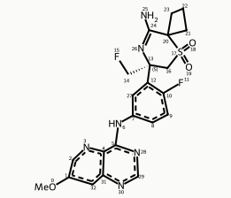 COc1cnc2c(Nc3ccc(F)c([C@]4(CF)CS(=O)(=O)C5(CCC5)C(N)=N4)c3)ncnc2c1